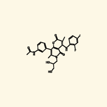 CC(=O)Nc1cccc(-c2c(C)n(CC(O)CO)c(=O)c3c(Nc4ccc(I)cc4F)c(C)c(=O)oc23)c1